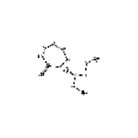 CC(CCO)CC(C)(C)C.O=C1CCCCCN1